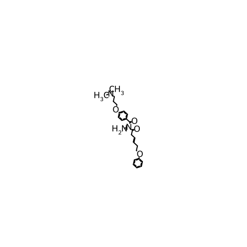 CN(C)CCCOc1ccc(C(=O)N(N)C(=O)C/C=C/CCOc2ccccc2)cc1